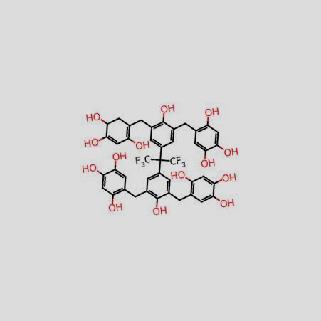 OC1=CC(O)=C(Cc2cc(C(c3cc(Cc4cc(O)c(O)cc4O)c(O)c(Cc4cc(O)c(O)cc4O)c3)(C(F)(F)F)C(F)(F)F)cc(Cc3cc(O)c(O)cc3O)c2O)CC1O